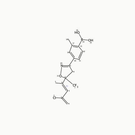 C=C(Cl)/C=C(\C)C1(C(F)(F)F)CC(c2ccc(B(O)O)c(C)c2)=NO1